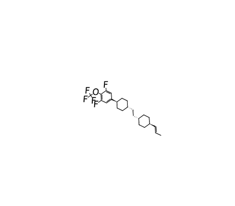 C/C=C/[C@H]1CC[C@H](CC[C@H]2CC[C@H](c3cc(F)c(OC(F)(F)F)c(F)c3)CC2)CC1